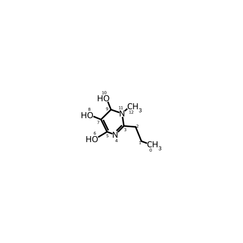 CCCC1=NC(O)=C(O)C(O)N1C